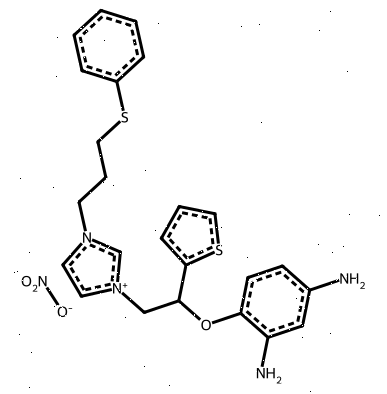 Nc1ccc(OC(C[n+]2ccn(CCCSc3ccccc3)c2)c2cccs2)c(N)c1.O=[N+]([O-])[O-]